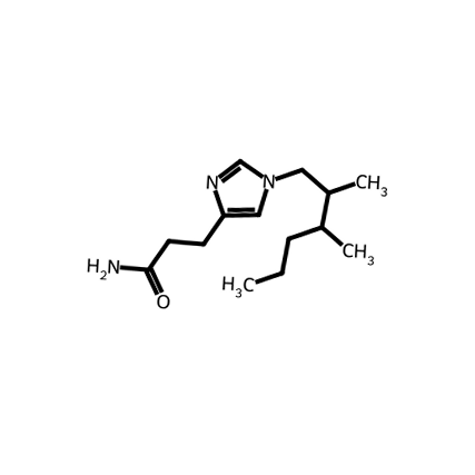 CCCC(C)C(C)Cn1cnc(CCC(N)=O)c1